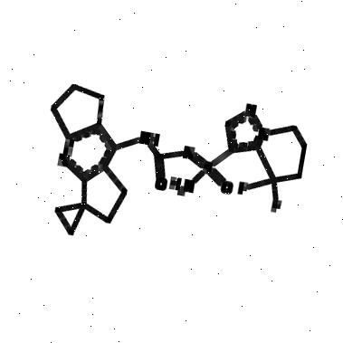 NS(=O)(=NC(=O)Nc1c2c(nc3c1CCC31CC1)CCC2)c1cnn2c1C(F)(F)CCC2